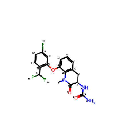 CN1C(=O)[C@H](NC(N)=O)Cc2cccc(Oc3cc(F)ccc3C(F)F)c21